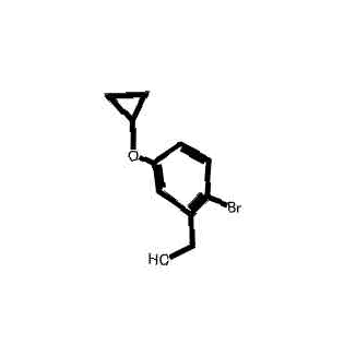 OCc1cc(OC2CC2)ccc1Br